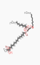 CCCCCCCCCCCCCCCCCC(=O)OCC(COC(=O)CCCCCCCCCCCCCCCCC(O)(O)CC)OC(=O)CCCCCCCCCCCCCCCCC